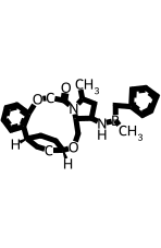 CB(Cc1ccccc1)NC1CC(C)N2C(=O)COc3ccccc3[C@H]3CC[C@H](CC3)OCC12